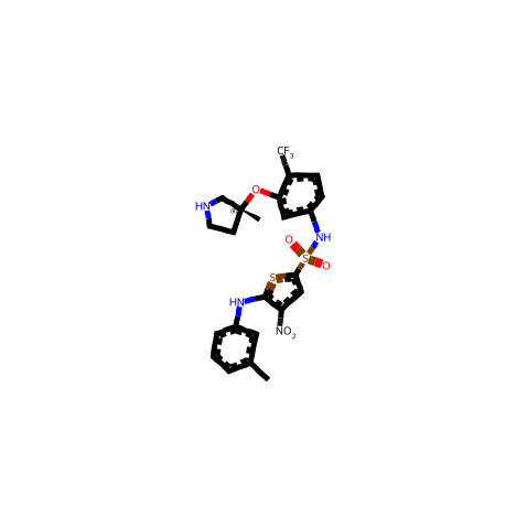 Cc1cccc(Nc2sc(S(=O)(=O)Nc3ccc(C(F)(F)F)c(O[C@]4(C)CCNC4)c3)cc2[N+](=O)[O-])c1